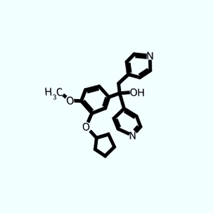 COc1ccc(C(O)(Cc2ccncc2)c2ccncc2)cc1OC1CCCC1